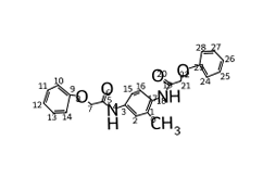 Cc1cc(NC(=O)COc2ccccc2)ccc1NC(=O)COc1ccccc1